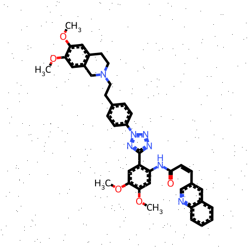 COc1cc2c(cc1OC)CN(CCc1ccc(-n3nnc(-c4cc(OC)c(OC)cc4NC(=O)/C=C\c4cnc5ccccc5c4)n3)cc1)CC2